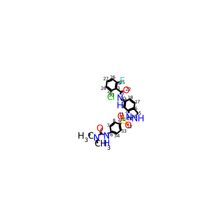 CN(C)C(=O)Nc1ccc(S(=O)(=O)N2NCc3ccc(NC(=O)c4c(F)cccc4Cl)cc32)cc1